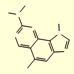 Cc1cc2ncn(C(C)C)c2c2nc([S+](C)[O-])ncc12